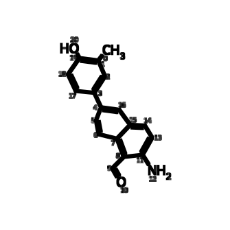 Cc1cc(-c2ccc3c(C=O)c(N)ccc3c2)ccc1O